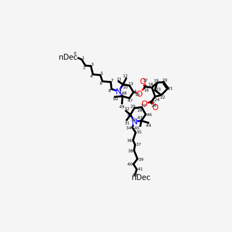 CCCCCCCCCCCCCCCCCCN1C(C)(C)CC(OC(=O)C2C3C=CC(C3)C2C(=O)OC2CC(C)(C)N(CCCCCCCCCCCCCCCCCC)C(C)(C)C2)CC1(C)C